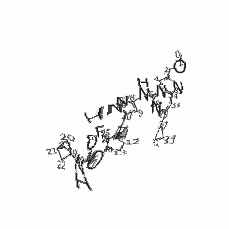 COCc1cn2c(Nc3cc([C@H]4CC[C@@H](OC(=O)NC56CC(C5)C6)[C@H]4F)[nH]n3)nc(C3CC3)cc2n1